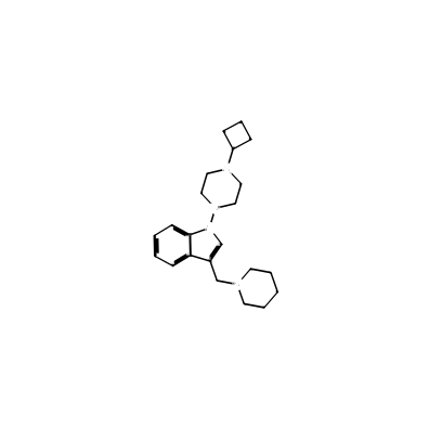 [c]1ccc2c(c1)c(CN1CCCCC1)cn2N1CCN(C2CCC2)CC1